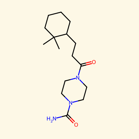 CC1(C)CCCCC1CCC(=O)N1CCN(C(N)=O)CC1